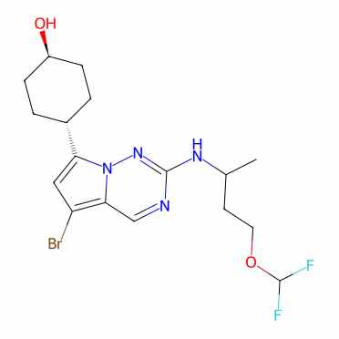 CC(CCOC(F)F)Nc1ncc2c(Br)cc([C@H]3CC[C@H](O)CC3)n2n1